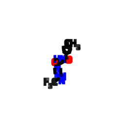 Cc1ccc(C(=O)NCC(=O)N2CCn3c(nnc3C(F)(F)F)C2)cc1